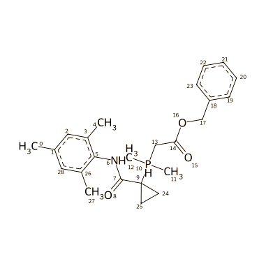 Cc1cc(C)c(NC(=O)C2([PH](C)(C)CC(=O)OCc3ccccc3)CC2)c(C)c1